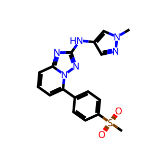 Cn1cc(Nc2nc3cccc(-c4ccc(S(C)(=O)=O)cc4)n3n2)cn1